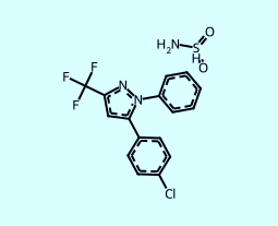 FC(F)(F)c1cc(-c2ccc(Cl)cc2)n(-c2ccccc2)n1.N[SH](=O)=O